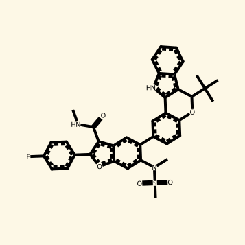 CNC(=O)c1c(-c2ccc(F)cc2)oc2cc(N(C)S(C)(=O)=O)c(-c3ccc4c(c3)-c3[nH]c5ccccc5c3C(C(C)(C)C)O4)cc12